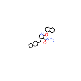 NC(=O)c1c(CC2CCC3(CCCC3)CC2)ccnc1Oc1cccc2ccccc12